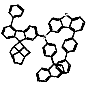 c1ccc(-c2ccc(-c3cccc4sc5ccc(N(c6ccc(-c7cccc8ccccc78)cc6)c6ccc7c(c6)C6(c8cccc(-c9ccccc9)c8-7)C7CC8CC9CC6C97C8)cc5c34)cc2)cc1